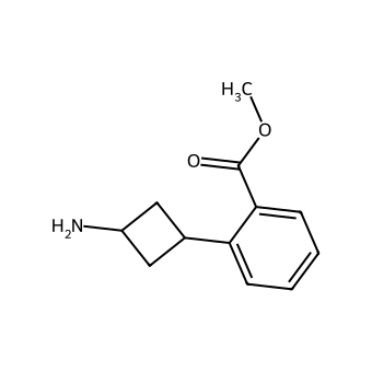 COC(=O)c1ccccc1C1CC(N)C1